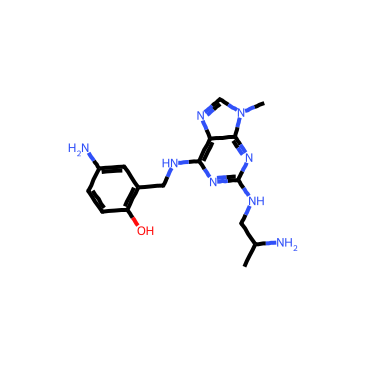 CC(N)CNc1nc(NCc2cc(N)ccc2O)c2ncn(C)c2n1